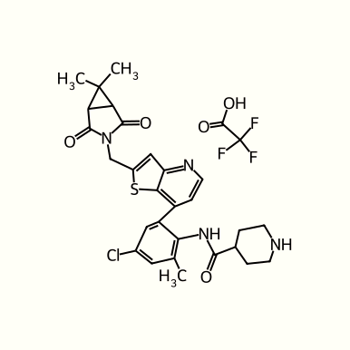 Cc1cc(Cl)cc(-c2ccnc3cc(CN4C(=O)C5C(C4=O)C5(C)C)sc23)c1NC(=O)C1CCNCC1.O=C(O)C(F)(F)F